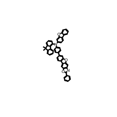 CC1(C)c2ccccc2-c2c(N(c3ccc(-c4ccc5c(c4)oc4cc6nc(-c7ccccc7)oc6cc45)cc3)c3ccc4c(c3)oc3ccccc34)cccc21